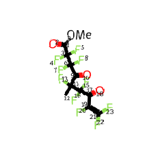 COC(=O)C(F)(F)C(F)(F)C(=O)C(C)(F)C(F)(F)C(=O)C(F)=C(F)F